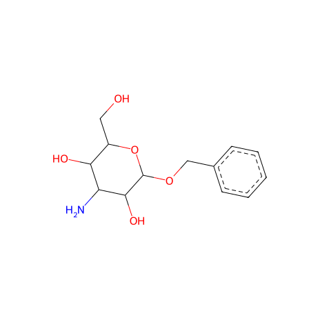 NC1C(O)C(CO)OC(OCc2ccccc2)C1O